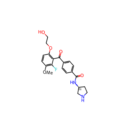 COc1ccc(OCCO)c(C(=O)c2ccc(C(=O)N[C@H]3CCNC3)cc2)c1F